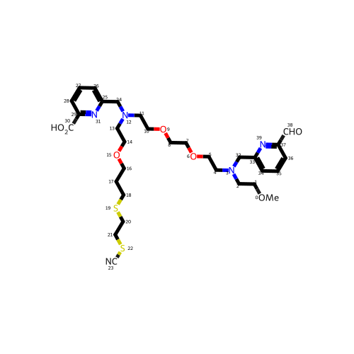 COCCN(CCOCCOCCN(CCOCCCSCCSC#N)Cc1cccc(C(=O)O)n1)Cc1cccc(C=O)n1